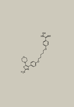 N=C(NO)c1ccc(OCCCCCOc2ccc(-c3nc(N)sc3N3CCOCC3)cc2)cc1